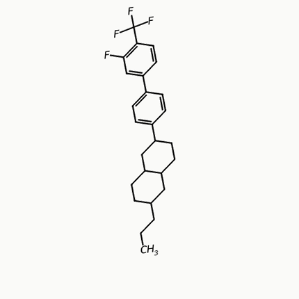 CCCC1CCC2CC(c3ccc(-c4ccc(C(F)(F)F)c(F)c4)cc3)CCC2C1